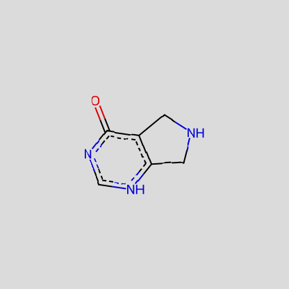 O=c1nc[nH]c2c1CNC2